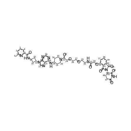 Cc1cccc(C(=O)NC2CC(n3cnc4c(NC5CCN(C(=O)COCCOCCNC(=O)COc6cccc7c6C(=O)N([C@H]6CCC(=O)NC6=O)C7=O)CC5)ncnc43)C2)n1